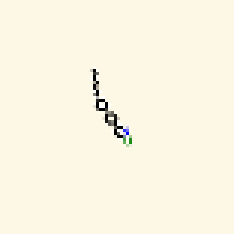 CCCCCCC[C@H]1CC[C@H](C2CCC(c3ccc(Cl)nc3)CC2)CC1